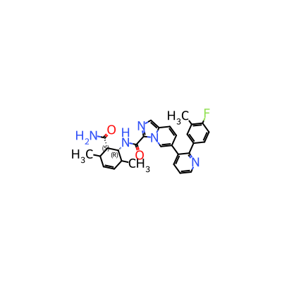 Cc1cc(-c2ncccc2-c2ccc3cnc(C(=O)N[C@@H]4C(C)C=CC(C)[C@@H]4C(N)=O)n3c2)ccc1F